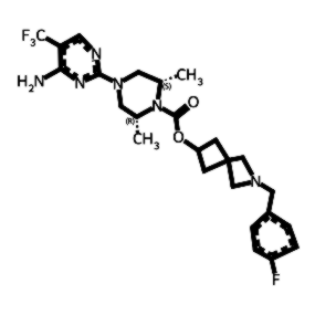 C[C@@H]1CN(c2ncc(C(F)(F)F)c(N)n2)C[C@H](C)N1C(=O)OC1CC2(C1)CN(Cc1ccc(F)cc1)C2